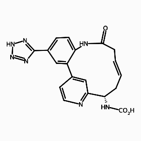 O=C(O)N[C@H]1C/C=C/CC(=O)Nc2ccc(-c3nn[nH]n3)cc2-c2ccnc1c2